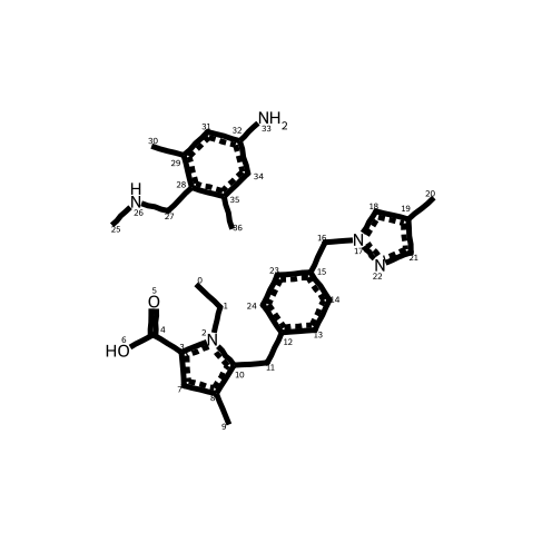 CCn1c(C(=O)O)cc(C)c1Cc1ccc(Cn2cc(C)cn2)cc1.CNCc1c(C)cc(N)cc1C